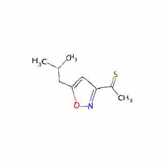 CC(=S)c1cc(CC(C)C)on1